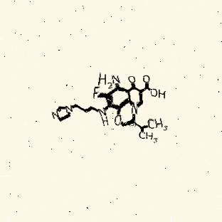 CC(C)[C@H]1COc2c(NCCCn3ccnc3)c(F)c(N)c3c(=O)c(C(=O)O)cn1c23